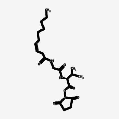 CCCCCC/C=C\CC(=O)NCC(=O)N[C@H](C(=O)ON1C(=O)CCC1=O)C(C)C